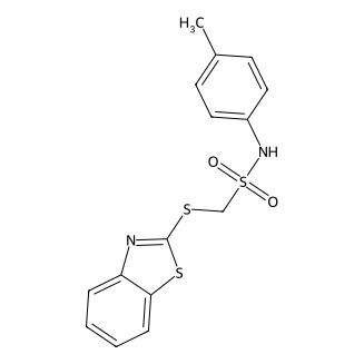 Cc1ccc(NS(=O)(=O)CSc2nc3ccccc3s2)cc1